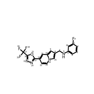 Fc1cccc(NCc2cc3cc(-c4nnc(C(F)(F)F)o4)ccn3c2)c1